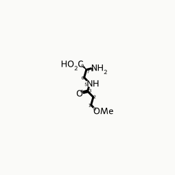 COCCC(=O)NC[C@H](N)C(=O)O